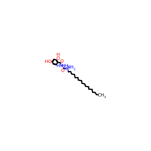 CCCCCCCCCCCCCCCCCCN(N)C(=O)NNC(=O)c1ccc(O)cc1O